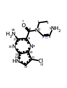 CCN(/C=C\N)C(=O)c1nc2c(Cl)c[nH]c2nc1N